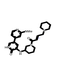 CNc1cc(-c2c[nH]c(=O)c(NC3CCCN(C(=O)/C=C/CN4CCCCC4)C3)c2)ccn1